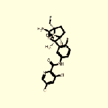 C[C@]1(c2cc(NC(=O)c3ncc(Cl)cc3Cl)ccc2F)N=C(N)[C@@]2(CF)CC[C@@H]1S2(=O)=O